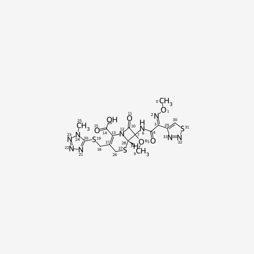 CON=C(C(=O)NC1(OC)C(=O)N2C(C(=O)O)=C(CSc3nnnn3C)CS[C@H]21)c1csnn1